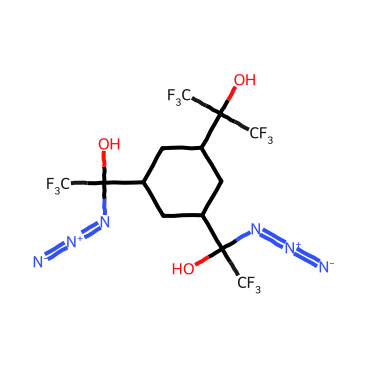 [N-]=[N+]=NC(O)(C1CC(C(O)(N=[N+]=[N-])C(F)(F)F)CC(C(O)(C(F)(F)F)C(F)(F)F)C1)C(F)(F)F